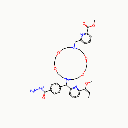 C/C=C(/OC)c1cccc(C(c2ccc(C(=O)NN)cc2)N2CCOCCOCCN(Cc3cccc(C(=O)OC)n3)CCOCCOCC2)n1